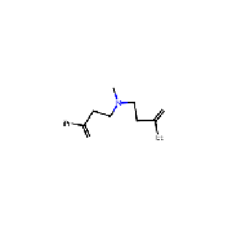 C=C(CC)CCN(C)CCC(=C)C(C)C